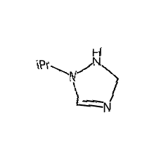 CC(C)N1C=NCN1